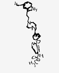 COC(=O)Nc1ccnc(Oc2ccc(N3CCN(CCCc4c[nH]c5ccc(C#N)cc45)CC3)cc2)n1